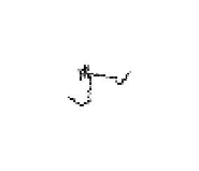 CCCCC/C=C\C/C=C\CCCCCCCCC1(CCCCCCCC/C=C\C/C=C\CCCCC)O[C@H]2CN(C)C[C@H]2O1